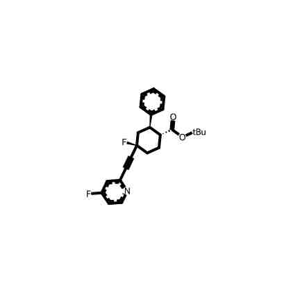 CC(C)(C)OC(=O)[C@@H]1CC[C@](F)(C#Cc2cc(F)ccn2)C[C@H]1c1ccccc1